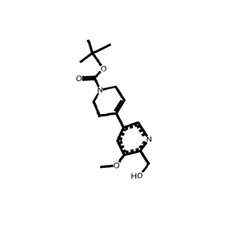 COc1cc(C2=CCN(C(=O)OC(C)(C)C)CC2)cnc1CO